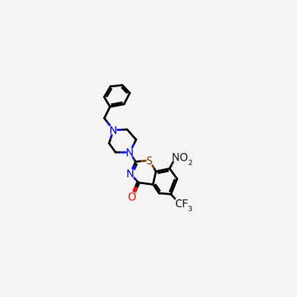 O=c1nc(N2CCN(Cc3ccccc3)CC2)sc2c([N+](=O)[O-])cc(C(F)(F)F)cc12